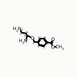 COC(=O)c1ccc(COC(N)CCN)cc1